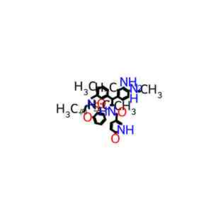 CCNc1ccc(C(c2ccc(C)c(CN3C[C@@H](CC)Oc4ccccc4[S+]3[O-])c2)C(C)(C)NC(=O)c2ccc(=O)[nH]c2)c(C)c1N